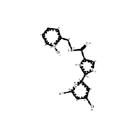 O=C(NCc1cccc[n+]1[O-])c1csc(-c2cc(F)cc(Cl)c2)n1